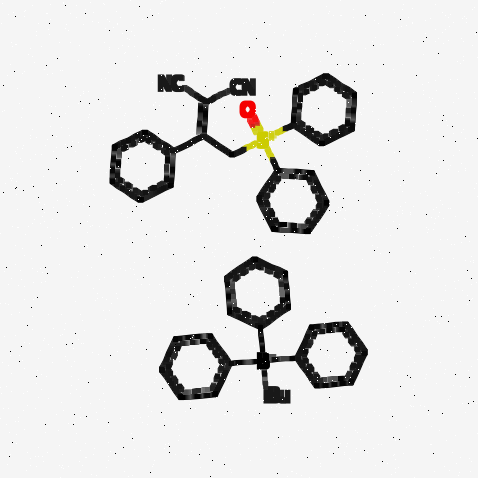 CCC(C)[B-](c1ccccc1)(c1ccccc1)c1ccccc1.N#CC(C#N)=C(C[S+](=O)(c1ccccc1)c1ccccc1)c1ccccc1